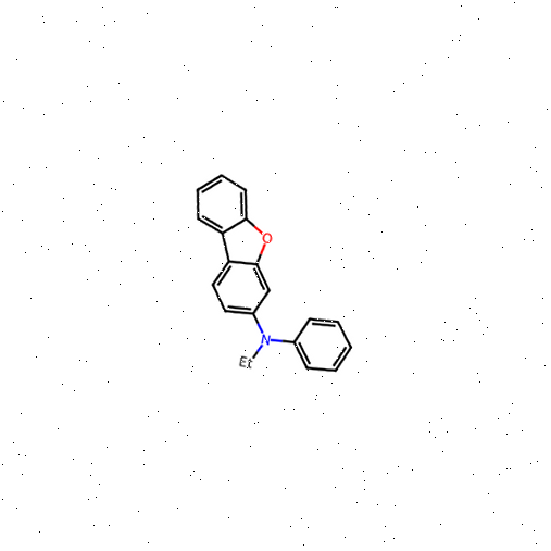 CCN(c1ccccc1)c1ccc2c(c1)oc1ccccc12